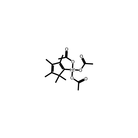 CC(=O)[O][Hf]([O]C(C)=O)([O]C(C)=O)[C]1=C(C)C(C)=C(C)C1(C)C